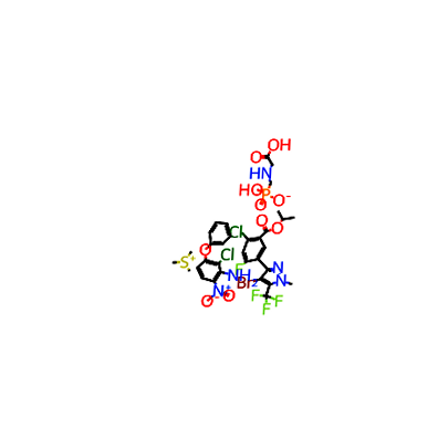 CC(C)OC(=O)c1cc(-c2nn(C)c(C(F)(F)F)c2Br)c(F)cc1Cl.C[S+](C)C.Nc1c([N+](=O)[O-])ccc(Oc2ccccc2)c1Cl.O=C(O)CNCP(=O)([O-])O